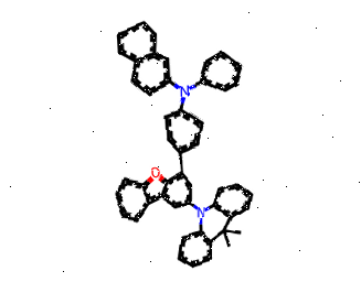 CC1(C)c2ccccc2N(c2cc(-c3ccc(N(c4ccccc4)c4ccc5ccccc5c4)cc3)c3oc4ccccc4c3c2)c2ccccc21